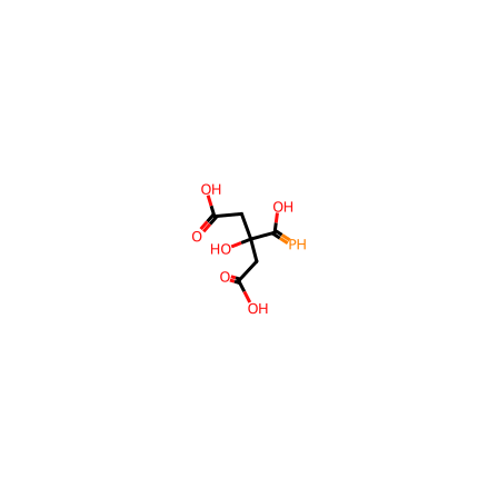 O=C(O)CC(O)(CC(=O)O)C(O)=P